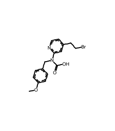 COc1ccc(CN(C(=O)O)c2cc(CCBr)ccn2)cc1